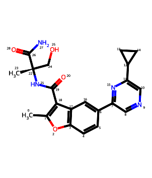 Cc1oc2ccc(-c3cncc(C4CC4)n3)cc2c1C(=O)N[C@@](C)(CO)C(N)=O